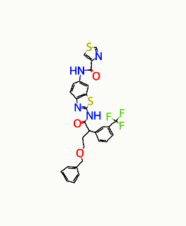 O=C(Nc1ccc2nc(NC(=O)C(CCOCc3ccccc3)c3cccc(C(F)(F)F)c3)sc2c1)c1cscn1